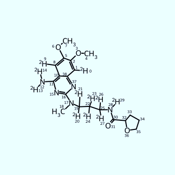 [2H]c1c(OC)c(OC)c([2H])c2c(N([2H])[2H])nc(N(C)C([2H])([2H])C([2H])([2H])C([2H])([2H])N([2H])C(=O)C3CCCO3)nc12